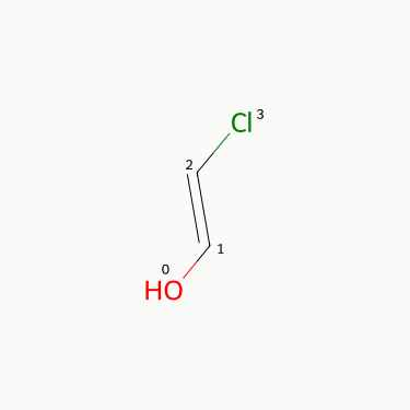 OC=CCl